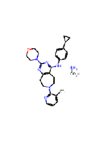 FC(F)(F)c1cccnc1N1CCc2nc(N3CCOCC3)nc(Nc3ccc(C4CC4)cc3)c2CC1.NC(=O)O